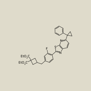 CCOC(=O)C1(C(=O)OCC)CC(Cc2ccc(-c3nc4ccc(C5(c6ccccc6)CC5)nc4s3)c(F)c2)C1